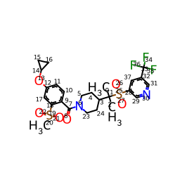 CC(C)(C1CCN(C(=O)c2ccc(OC3CC3)cc2S(C)(=O)=O)CC1)S(=O)(=O)c1cncc(C(F)(F)F)c1